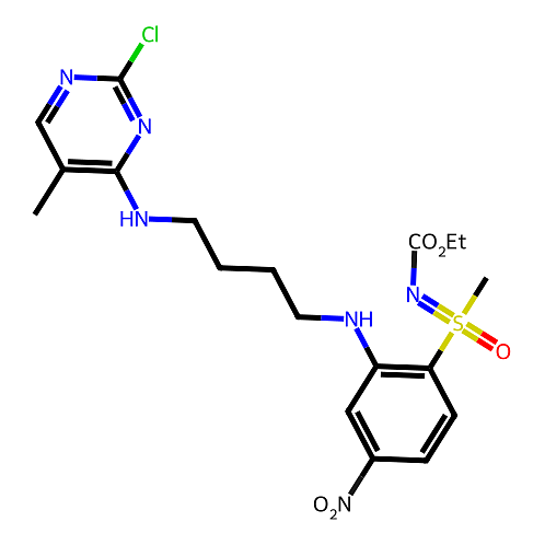 CCOC(=O)N=S(C)(=O)c1ccc([N+](=O)[O-])cc1NCCCCNc1nc(Cl)ncc1C